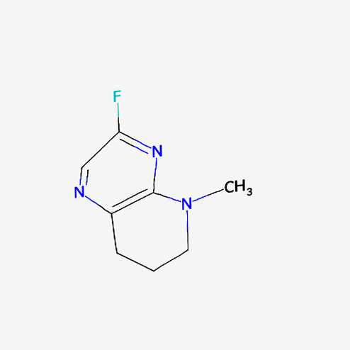 CN1CCCc2ncc(F)nc21